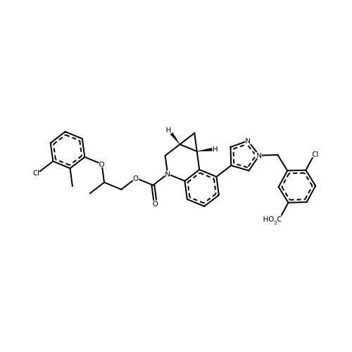 Cc1c(Cl)cccc1OC(C)COC(=O)N1C[C@@H]2C[C@@H]2c2c(-c3cnn(Cc4cc(C(=O)O)ccc4Cl)c3)cccc21